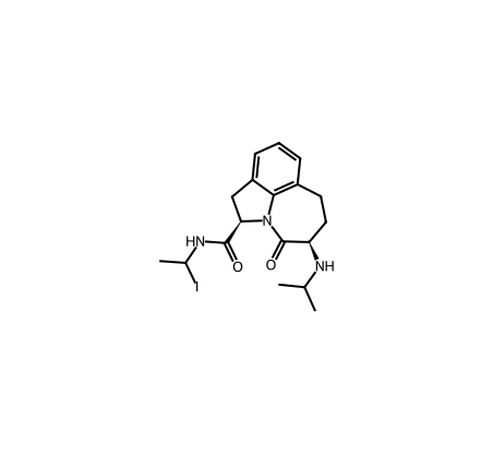 CC(C)N[C@@H]1CCc2cccc3c2N(C1=O)[C@@H](C(=O)NC(C)I)C3